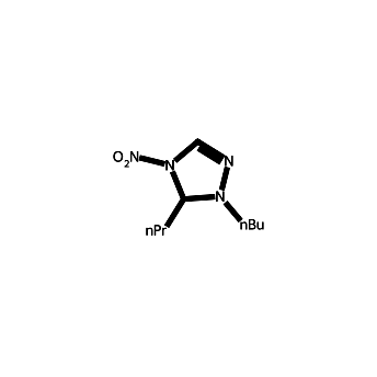 CCCCN1N=CN([N+](=O)[O-])C1CCC